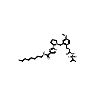 CCCCCCCCNC(=O)c1coc([C@@H]2CCCN2Cc2cc(OC)ccc2CCC(=O)NS(=O)(=O)C(C)C)n1